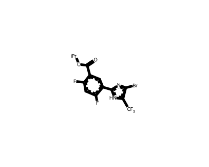 CC(C)OC(=O)c1cc(-c2nc(Br)c(C(F)(F)F)[nH]2)c(F)cc1F